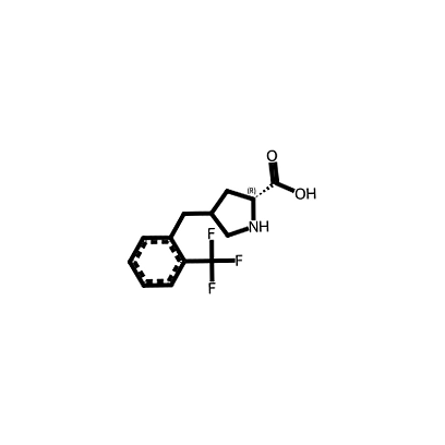 O=C(O)[C@H]1CC(Cc2ccccc2C(F)(F)F)CN1